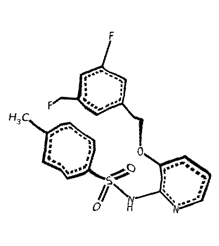 Cc1ccc(S(=O)(=O)Nc2ncccc2OCc2cc(F)cc(F)c2)cc1